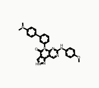 COc1ccc(Nc2ncc3c4n[nH]cc4c(=O)n(-c4cccc(-c5ccc(N(C)C)cc5)c4)c3n2)cc1